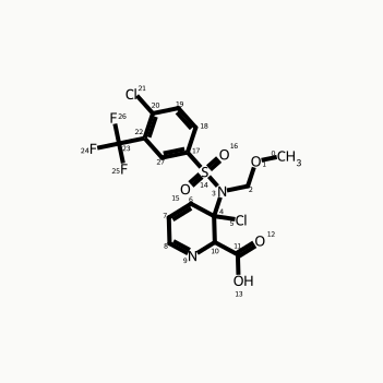 COCN(C1(Cl)C=CC=NC1C(=O)O)S(=O)(=O)c1ccc(Cl)c(C(F)(F)F)c1